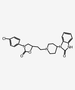 O=C1OC(CCN2CCC(n3c(=O)[nH]c4ccccc43)CC2)CN1c1ccc(Cl)cc1